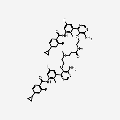 Cc1c(NC(=O)c2ccc(C3CC3)cc2F)cc(F)cc1-c1ncnc(N)c1OCCN(C)CCC(=O)N(C)CCOc1c(N)ncnc1-c1cc(F)cc(NC(=O)c2ccc(C3CC3)cc2F)c1C